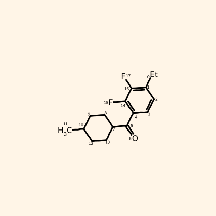 CCc1ccc(C(=O)C2CCC(C)CC2)c(F)c1F